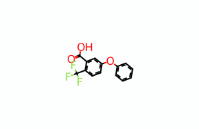 O=C(O)c1cc(Oc2ccccc2)ccc1C(F)(F)F